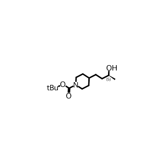 C[C@H](O)CCC1CCN(C(=O)OC(C)(C)C)CC1